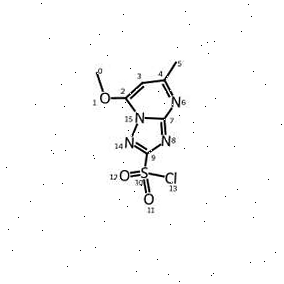 COc1cc(C)nc2nc(S(=O)(=O)Cl)nn12